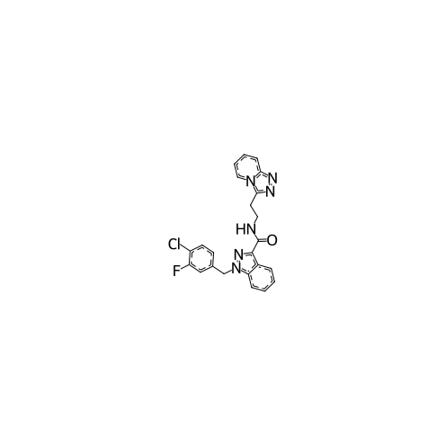 O=C(NCCc1nnc2ccccn12)c1nn(Cc2ccc(Cl)c(F)c2)c2ccccc12